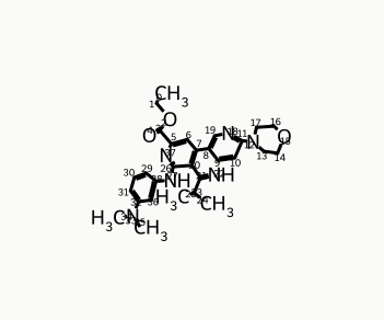 CCOC(=O)c1cc(-c2ccc(N3CCOCC3)nc2)c(C(=N)C(C)C)c(Nc2cccc(N(C)C)c2)n1